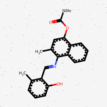 CNC(=O)Oc1cc(C)c(N=Cc2c(C)cccc2O)c2ccccc12